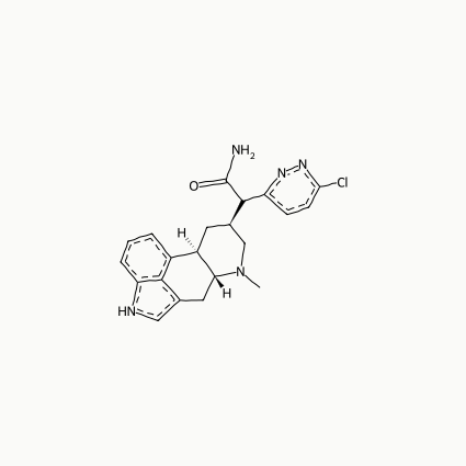 CN1C[C@H](C(C(N)=O)c2ccc(Cl)nn2)C[C@@H]2c3cccc4[nH]cc(c34)C[C@H]21